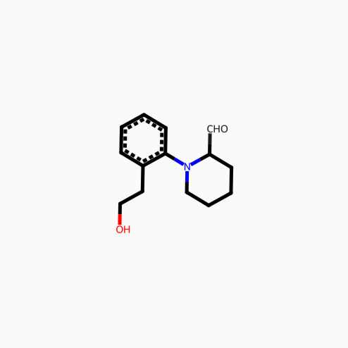 O=CC1CCCCN1c1ccccc1CCO